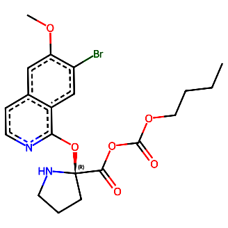 CCCCOC(=O)OC(=O)[C@]1(Oc2nccc3cc(OC)c(Br)cc23)CCCN1